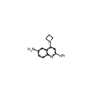 CCCc1cc(N2CCC2)c2cc(N)ccc2n1